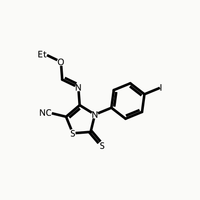 CCO/C=N/c1c(C#N)sc(=S)n1-c1ccc(I)cc1